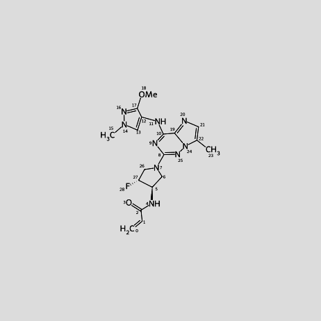 C=CC(=O)N[C@@H]1CN(c2nc(Nc3cn(C)nc3OC)c3ncc(C)n3n2)C[C@H]1F